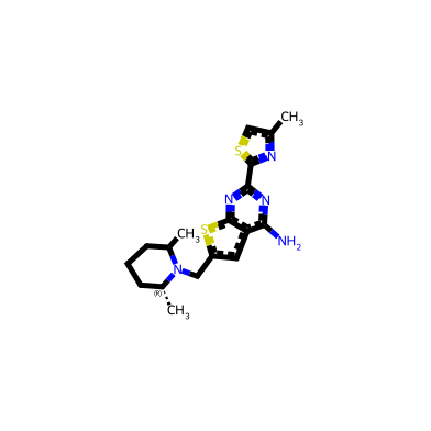 Cc1csc(-c2nc(N)c3cc(CN4C(C)CCC[C@H]4C)sc3n2)n1